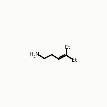 CCC(=[C]CCN)CC